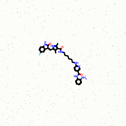 Cc1[nH]c(C=C2C(=O)Nc3ccc(F)cc32)c(C)c1C(=O)NCCCCCCNc1ccc(C(=O)Nc2ccccc2N)cn1